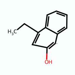 CCc1cc(O)[c]c2ccccc12